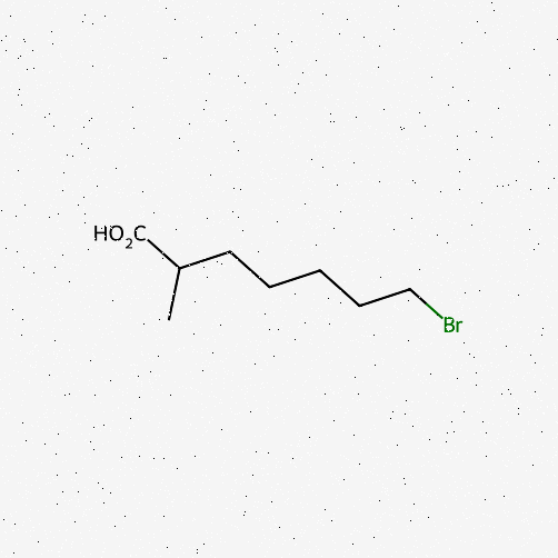 CC(CCCCCBr)C(=O)O